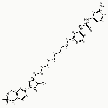 CC1(C)OCc2cc([C@@H]3CN(CCCCCOCCCOCc4cccc(NC(=O)Nc5cccc([N+](=O)[O-])c5)c4)C(=O)O3)ccc2O1